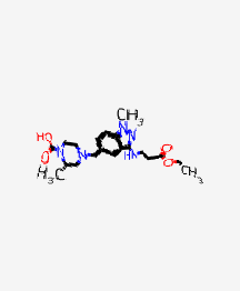 CCOC(=O)CCNc1nn(C)c2ccc(CN3CCN(C(=O)O)[C@@H](C)C3)cc12